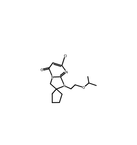 CC(C)OCCN1c2nc(Cl)cc(=O)n2CC12CCCC2